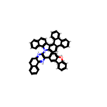 c1ccc2c(c1)ccc1nc(-n3c4ccc5c6ccccc6c6ccccc6c5c4c4ccc5ccccc5c43)c(-c3ccc4oc5ccccc5c4c3)nc12